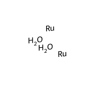 O.O.[Ru].[Ru]